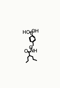 CCCC(CCC)C(=O)NOCc1ccc(B(O)O)cc1